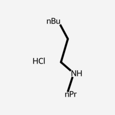 CCCCCCNCCC.Cl